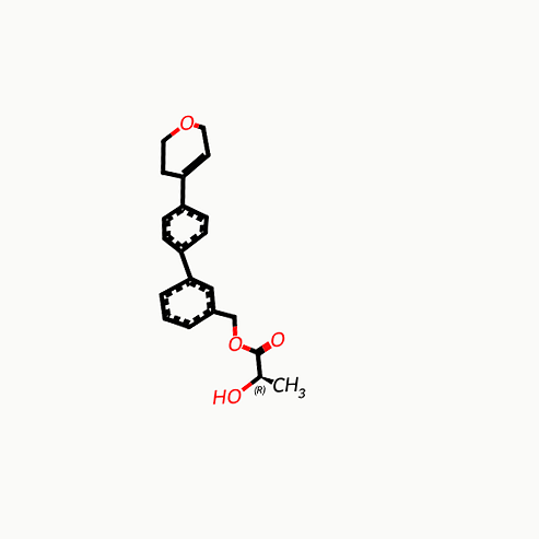 C[C@@H](O)C(=O)OCc1cccc(-c2ccc(C3=CCOCC3)cc2)c1